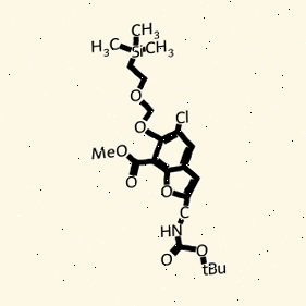 COC(=O)c1c(OCOCC[Si](C)(C)C)c(Cl)cc2cc(CNC(=O)OC(C)(C)C)oc12